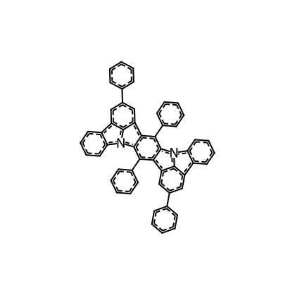 c1ccc(-c2cc3c4ccccc4n4c5c(-c6ccccc6)c6c7cc(-c8ccccc8)cc8c9ccccc9n(c6c(-c6ccccc6)c5c(c2)c34)c87)cc1